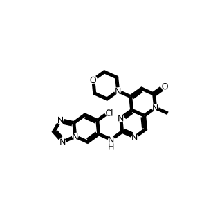 Cn1c(=O)cc(N2CCOCC2)c2nc(Nc3cn4ncnc4cc3Cl)ncc21